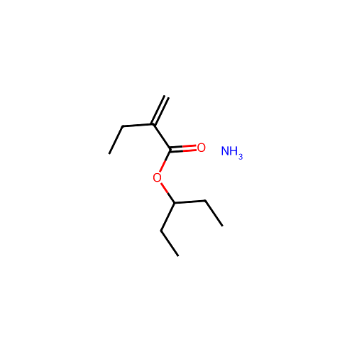 C=C(CC)C(=O)OC(CC)CC.N